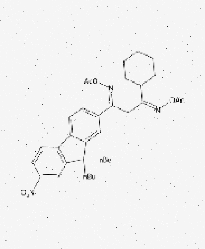 CCCCC1(CCCC)c2cc(/C(C/C(=N/OC(C)=O)C3CCCCC3)=N\OC(C)=O)ccc2-c2ccc([N+](=O)[O-])cc21